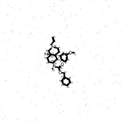 C=CCN1CC[C@@]2(c3cccc(OC)c3)C[C@H](N(C)C(=O)OCc3ccccc3)CC[C@@H]2C1